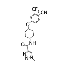 Cn1cc(C(=O)N[C@H]2CC[C@H](Oc3ccc(C#N)c(C(F)(F)F)c3)CC2)nn1